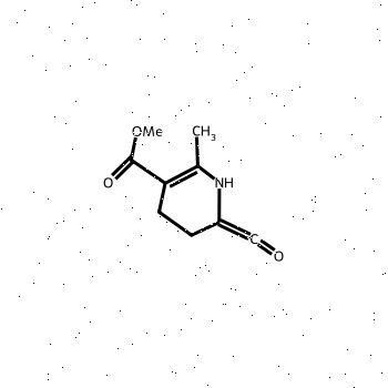 COC(=O)C1=C(C)NC(=C=O)CC1